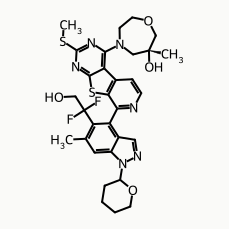 CSc1nc(N2CCOC[C@](C)(O)C2)c2c(n1)sc1c(-c3c(C(F)(F)CO)c(C)cc4c3cnn4C3CCCCO3)nccc12